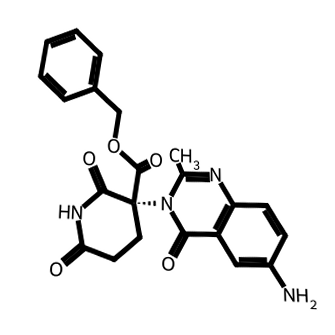 Cc1nc2ccc(N)cc2c(=O)n1[C@]1(C(=O)OCc2ccccc2)CCC(=O)NC1=O